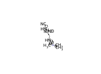 CN(C)C/C=C/C(=O)N(C)CC(=O)NCCCC#Cc1cnc(Nc2cccc(C#N)c2)nc1N1CCOCC1